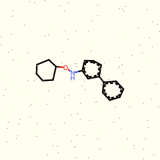 c1ccc(-c2cccc(NOC3CCCCC3)c2)cc1